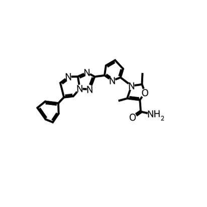 CC1=C(C(N)=O)OC(C)N1c1cccc(-c2nc3ncc(-c4ccccc4)cn3n2)n1